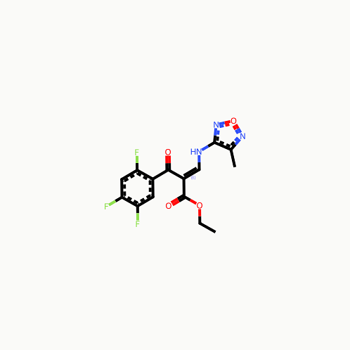 CCOC(=O)/C(=C/Nc1nonc1C)C(=O)c1cc(F)c(F)cc1F